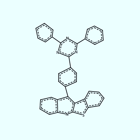 c1ccc(-c2nc(-c3ccccc3)nc(-c3ccc(-c4c5ccccc5nc5sc6ccccc6c45)cc3)n2)cc1